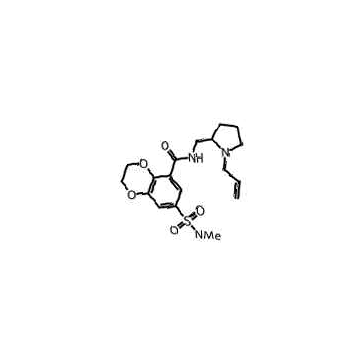 C=CCN1CCCC1CNC(=O)c1cc(S(=O)(=O)NC)cc2c1OCCO2